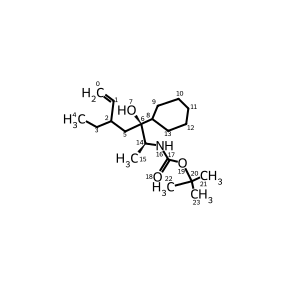 C=CC(CC)C[C@](O)(C1CCCCC1)[C@H](C)NC(=O)OC(C)(C)C